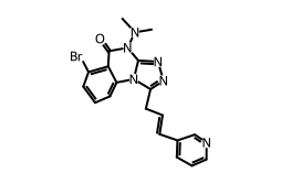 CN(C)n1c(=O)c2c(Br)cccc2n2c(CC=Cc3cccnc3)nnc12